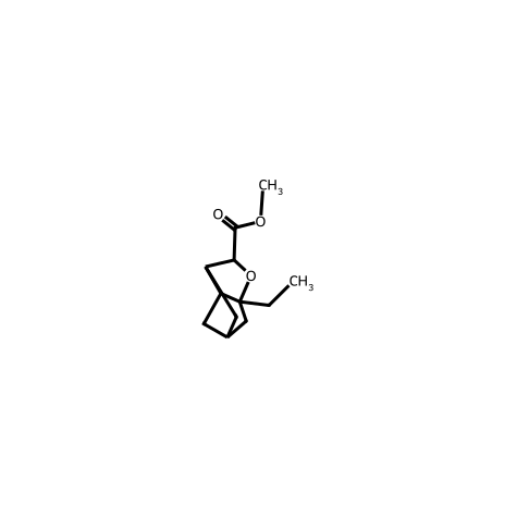 CCC12CC3CC(C(C(=O)OC)O1)C2C3